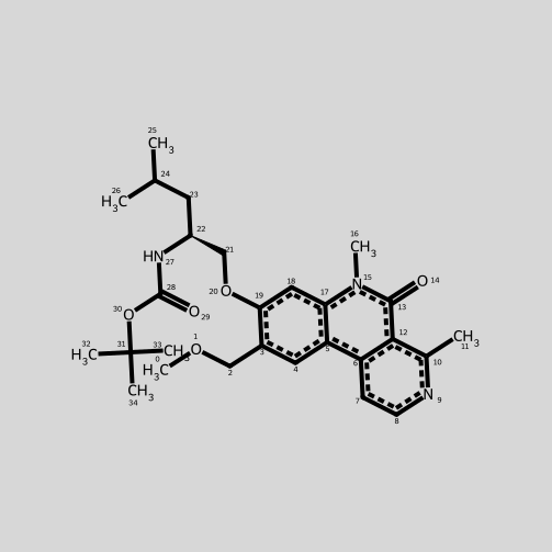 COCc1cc2c3ccnc(C)c3c(=O)n(C)c2cc1OC[C@H](CC(C)C)NC(=O)OC(C)(C)C